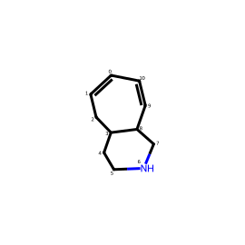 C1=CCC2CCNCC2C=C1